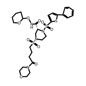 O=C(NOC1CCCCO1)[C@H]1CN(S(=O)(=O)CCCC(=O)N2CCOCC2)CCN1S(=O)(=O)c1ccc(-c2ccccc2)s1